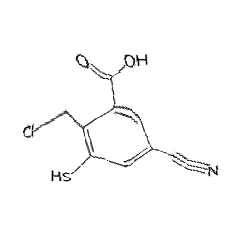 N#Cc1cc(S)c(CCl)c(C(=O)O)c1